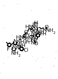 CNC(=O)C(NC(=O)[C@@H](C(C)C)N(C)C(=O)OCc1ccc(NC(=O)[C@H](CCCNC(N)=O)NC(=O)[C@@H](NC(=O)CCOCCC(=O)NCCNc2ncc(-c3cc(C)cc(F)c3)c(N3CCC(N)CC3)c2-c2nc3ccc(Cl)cc3[nH]2)C(C)C)cc1)C(C)C